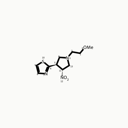 COCCN1C[C@H](c2nccs2)[C@@H]([N+](=O)[O-])C1